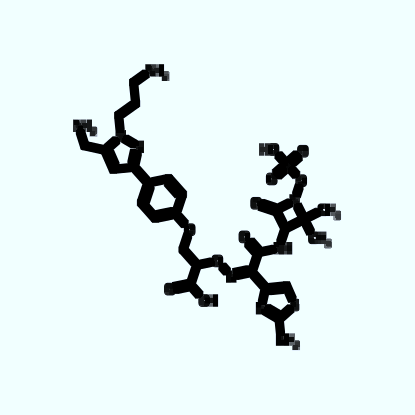 CC1(C)C(NC(=O)C(=NOC(COc2ccc(-c3cc(CN)n(CCCN)n3)cc2)C(=O)O)c2csc(N)n2)C(=O)N1OS(=O)(=O)O